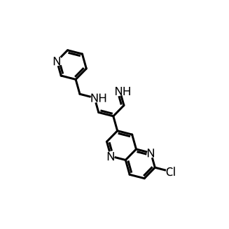 N=C/C(=C\NCc1cccnc1)c1cnc2ccc(Cl)nc2c1